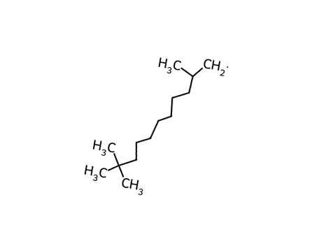 [CH2]C(C)CCCCCCCC(C)(C)C